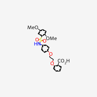 COc1ccc(OC)c(S(=O)(=O)Nc2ccc(OCCOc3ccccc3C(=O)O)cc2)c1